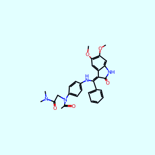 COc1cc2c(cc1OC)C(=C(Nc1ccc(N(CC(=O)N(C)C)C(C)=O)cc1)c1ccccc1)C(=O)N2